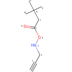 C#CCNOC(=O)CC(C)(C)C